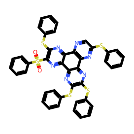 O=S(=O)(c1ccccc1)c1nc2c3nc(Sc4ccccc4)c(Sc4ccccc4)nc3c3nc(Sc4ccccc4)cnc3c2nc1Sc1ccccc1